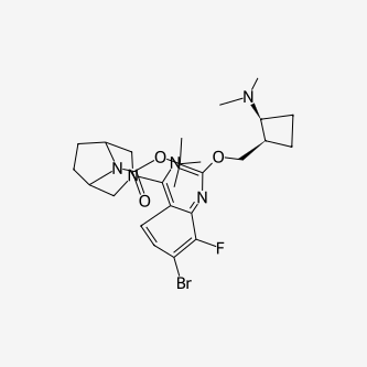 CN(C)[C@H]1CC[C@H]1COc1nc(N2CC3CCC(C2)N3C(=O)OC(C)(C)C)c2ccc(Br)c(F)c2n1